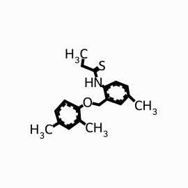 CCC(=S)Nc1ccc(C)cc1COc1ccc(C)cc1C